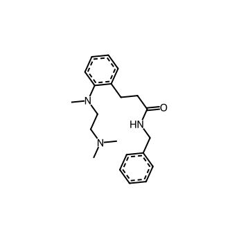 CN(C)CCN(C)c1ccccc1CCC(=O)NCc1ccccc1